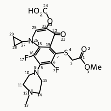 COC(=O)CSc1c(F)c(N2CCN(C)CC2)c(F)c2c1c(=O)c(OC(=O)O)cn2C1CC1